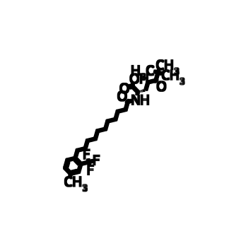 Cc1ccc(CCCCCCCCCCC(=O)N[C@@H](CCC(=O)C(C)(C)C)C(=O)O)c(C(F)(F)F)c1